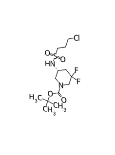 CC(C)(C)OC(=O)N1C[C@H](NS(=O)(=O)CCCCl)CC(F)(F)C1